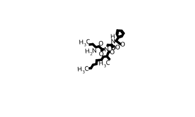 CCCCCCCC(CC)C(=O)N(CC(=O)NC(C(=O)O)c1ccccc1)C(=O)C(=O)C(N)CCC